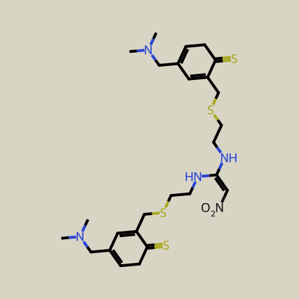 CN(C)CC1=CCC(=S)C(CSCCNC(=C[N+](=O)[O-])NCCSCC2=CC(CN(C)C)=CCC2=S)=C1